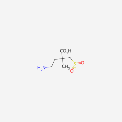 CC(CCN)(C[SH](=O)=O)C(=O)O